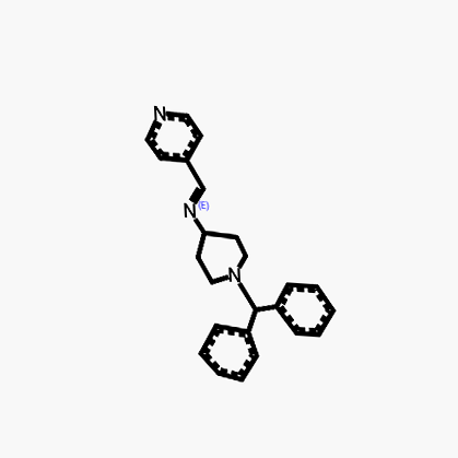 C(=N\C1CCN(C(c2ccccc2)c2ccccc2)CC1)/c1ccncc1